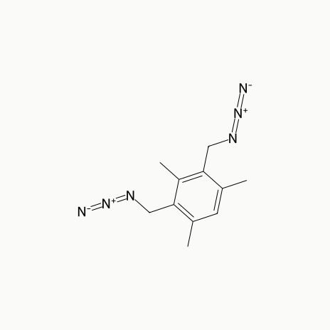 Cc1cc(C)c(CN=[N+]=[N-])c(C)c1CN=[N+]=[N-]